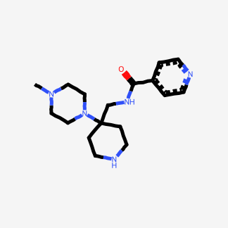 CN1CCN(C2(CNC(=O)c3ccncc3)CCNCC2)CC1